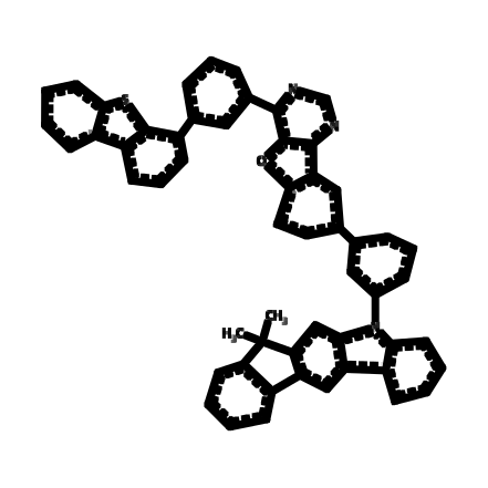 CC1(C)c2ccccc2-c2cc3c4ccccc4n(-c4cccc(-c5ccc6oc7c(-c8cccc(-c9cccc%10c9sc9ccccc9%10)c8)ncnc7c6c5)c4)c3cc21